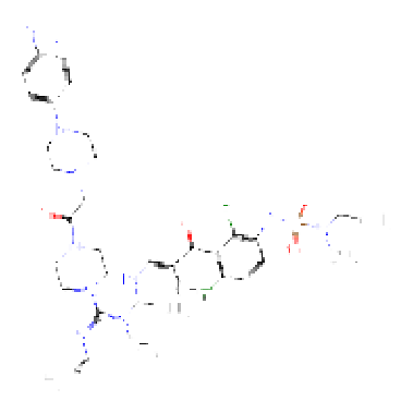 C=C/N=C(/N1CCN(C(=O)CN2CCN(c3ccc(N)cc3)CC2)CC1)N(C)C(C)N/C=C(\C)C(=O)c1c(F)ccc(NS(=O)(=O)N(C)CC)c1F